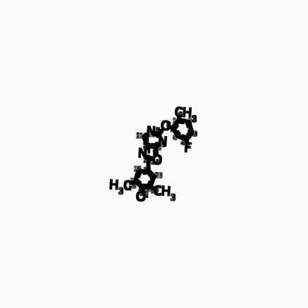 Cc1ccc(F)cc1Oc1ncc2nc(-c3cc(C)c([O])c(C)c3)oc2n1